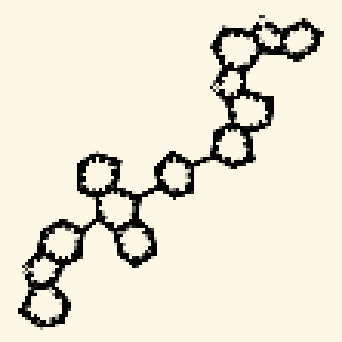 c1ccc2c(c1)oc1ccc3oc4c5cc(-c6ccc(-c7c8ccccc8c(-c8ccc9sc%10ccccc%10c9c8)c8ccccc78)cc6)ccc5ccc4c3c12